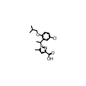 Cc1cc(C(=O)O)nn1C(C)c1cc(Cl)ccc1OCC(C)C